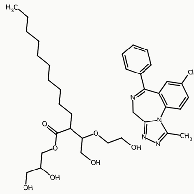 CCCCCCCCCCC(C(=O)OCC(O)CO)C(CO)OCCO.Cc1nnc2n1-c1ccc(Cl)cc1C(c1ccccc1)=NC2